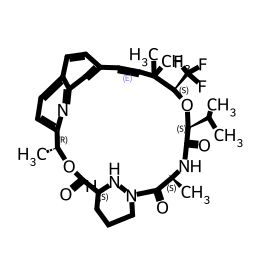 CC(C)[C@@H]1O[C@H](C(F)(F)F)C(C)(C)/C=C/c2ccc3ccc(nc3c2)[C@@H](C)OC(=O)[C@@H]2CCCN(N2)C(=O)[C@H](C)NC1=O